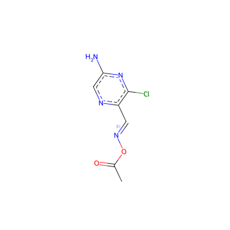 CC(=O)O/N=C/c1ncc(N)nc1Cl